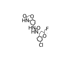 C[C@@]1(CF)C[C@@H](NC(=O)Nc2ccc3c(c2)NC(=O)CO3)c2ccc(Cl)cc2O1